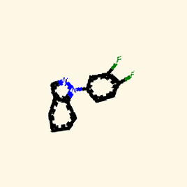 Fc1ccc(-n2ncc3c[c]ccc32)cc1F